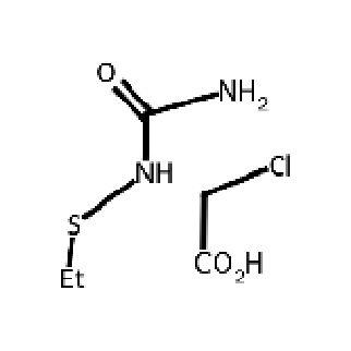 CCSNC(N)=O.O=C(O)CCl